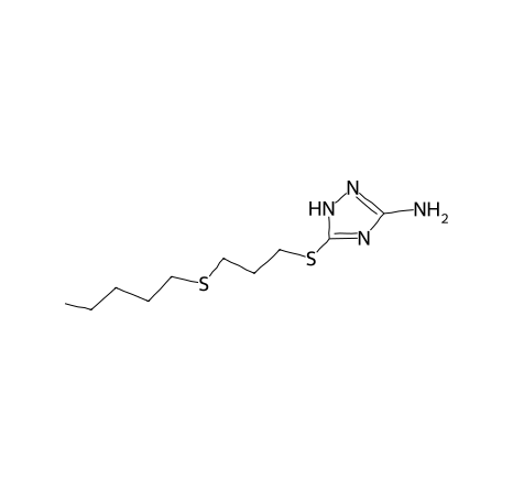 CCCCCSCCCSc1nc(N)n[nH]1